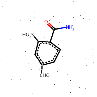 NC(=O)c1ccc(C=O)cc1S(=O)(=O)O